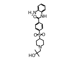 CC(C)(O)CN1CCC(S(=O)(=O)c2ccc(C(=O)Nc3ccccc3N)cc2)CC1